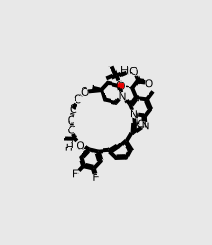 Cc1cc2nc3c(Cl)n2c(c1[C@H](OC(C)(C)C)C(=O)O)N1CCC(C)(CC1)OCCCC[C@H](C)Oc1cc(F)c(F)cc1-c1cccc-3c1